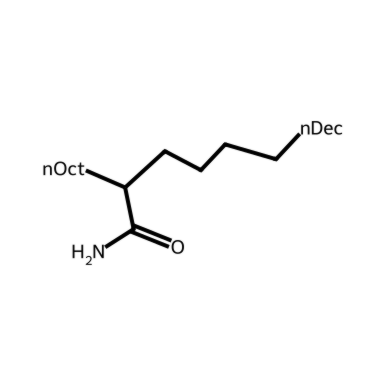 CCCCCCCCCCCCCCC(CCCCCCCC)C(N)=O